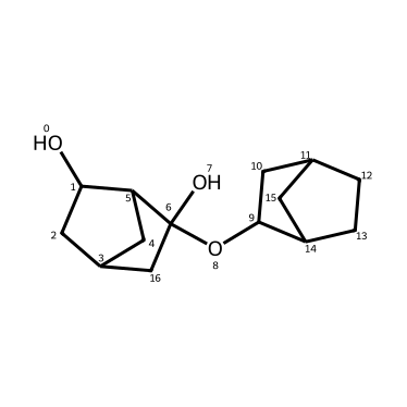 OC1CC2CC1C(O)(OC1CC3CCC1C3)C2